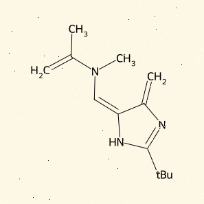 C=C(C)N(C)/C=c1/[nH]c(C(C)(C)C)nc1=C